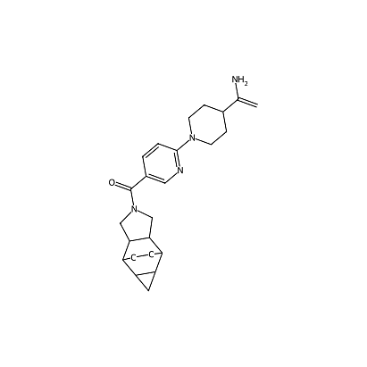 C=C(N)C1CCN(c2ccc(C(=O)N3CC4C5CCC(C6CC56)C4C3)cn2)CC1